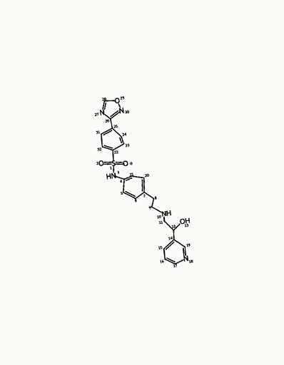 O=S(=O)(Nc1ccc(CCNCC(O)c2cccnc2)cc1)c1ccc(-c2ncon2)cc1